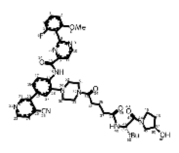 COc1cccc(F)c1-c1nccc(C(=O)Nc2ccc(-c3cnccc3C#N)cc2N2CCN(C(=O)CCCC(=O)N[C@H](C(=O)N3CC[C@@H](O)C3)C(C)(C)C)CC2)n1